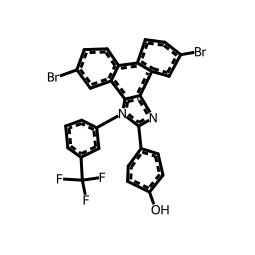 Oc1ccc(-c2nc3c4cc(Br)ccc4c4ccc(Br)cc4c3n2-c2cccc(C(F)(F)F)c2)cc1